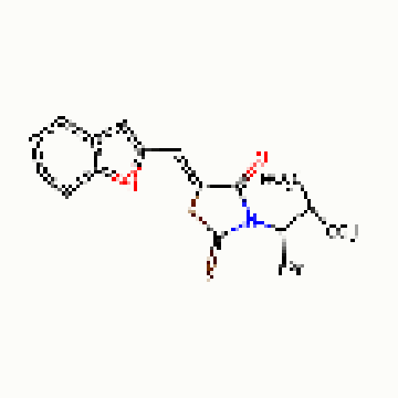 CCCC(C(C(=O)O)C(=O)O)N1C(=O)C(=Cc2cc3ccccc3o2)SC1=S